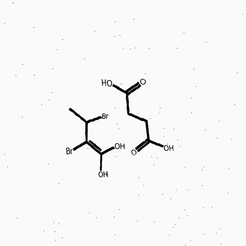 CC(Br)C(Br)=C(O)O.O=C(O)CCC(=O)O